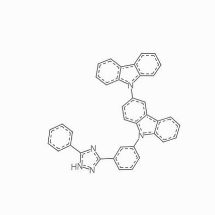 c1ccc(-c2nc(-c3cccc(-n4c5ccccc5c5cc(-n6c7ccccc7c7ccccc76)ccc54)c3)n[nH]2)cc1